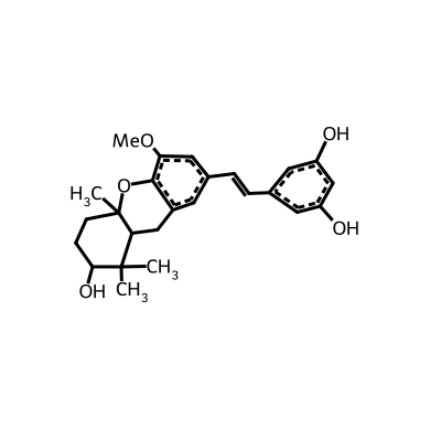 COc1cc(C=Cc2cc(O)cc(O)c2)cc2c1OC1(C)CCC(O)C(C)(C)C1C2